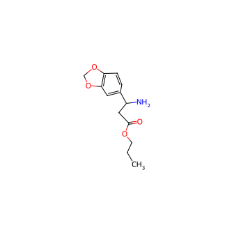 CCCOC(=O)CC(N)c1ccc2c(c1)OCO2